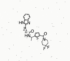 CC(NC(=O)[C@@H]1C[C@H]1c1nc2ccccc2[nH]1)c1ccc(C(=O)N2CCC(F)(F)CC2)s1